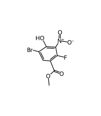 COC(=O)c1cc(Br)c(O)c([N+](=O)[O-])c1F